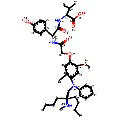 CCCCC(CCCC)(CN(c1ccccc1)c1cc(SC)c(OCC(=O)N[C@@H](C(=O)N[C@H](C(=O)O)C(C)C)c2ccc(O)cc2)cc1C)NC